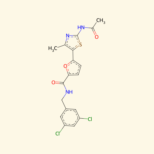 CC(=O)Nc1nc(C)c(-c2ccc(C(=O)NCc3cc(Cl)cc(Cl)c3)o2)s1